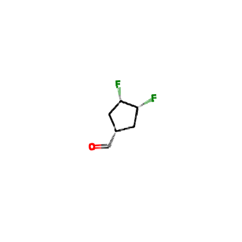 O=C[C@H]1C[C@@H](F)[C@@H](F)C1